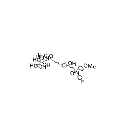 COc1ccc(C2C(CCC(O)c3ccc(C=CCCCC(=O)N(C)CC(O)C(O)C(O)C(O)CO)cc3)C(=O)N2c2ccc(F)cc2)cc1